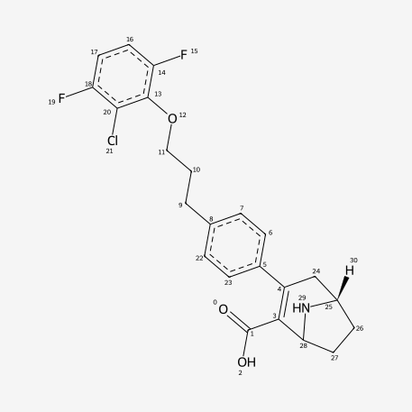 O=C(O)C1=C(c2ccc(CCCOc3c(F)ccc(F)c3Cl)cc2)C[C@@H]2CCC1N2